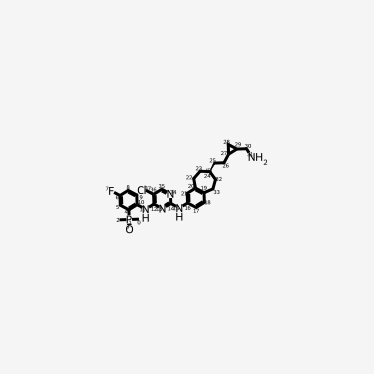 CP(C)(=O)c1cc(F)ccc1Nc1nc(Nc2ccc3c(c2)CC[C@@H](CCC2CC2CN)CC3)ncc1Cl